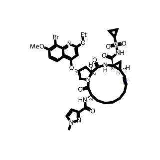 CCOc1cc(O[C@@H]2C[C@H]3C(=O)N[C@]4(C(=O)NS(=O)(=O)C5CC5)C[C@H]4/C=C\CCCCC[C@H](NC(=O)c4ccn(C)n4)C(=O)N3C2)c2ccc(OC)c(Br)c2n1